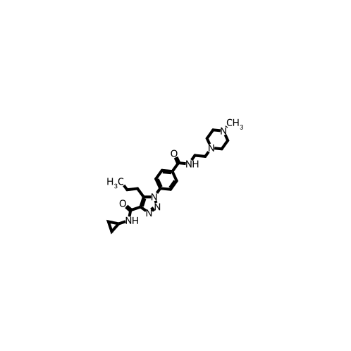 CCCc1c(C(=O)NC2CC2)nnn1-c1ccc(C(=O)NCCN2CCN(C)CC2)cc1